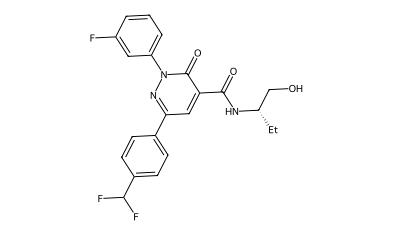 CC[C@@H](CO)NC(=O)c1cc(-c2ccc(C(F)F)cc2)nn(-c2cccc(F)c2)c1=O